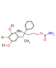 CCOc1cc([C@@H](C)C(CCCOC(N)=O)(c2ccccc2)C(C)(C)C)cc(OCC)c1Br